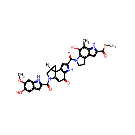 COc1cc2[nH]c(C(=O)N3C[C@H]4CC45C3=CC(=O)c3[nH]c(C(=O)N4CCc6c4c(O)c(C)c4[nH]c(C(=O)SC)cc64)cc35)cc2cc1O